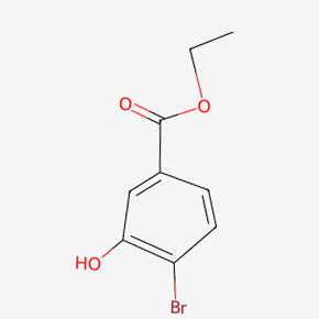 CCOC(=O)c1ccc(Br)c(O)c1